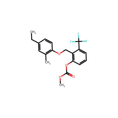 CCc1ccc(OCc2c(OC(=O)OC)cccc2C(F)(F)F)c(C)c1